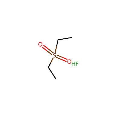 CCS(=O)(=O)CC.F